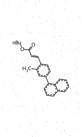 CCCCOC(=O)/C=C/c1ccc(-c2cccc3ccccc23)cc1C